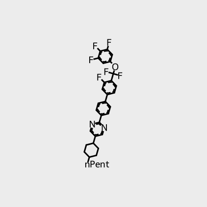 CCCCCC1CCC(c2cnc(-c3ccc(-c4ccc(C(F)(F)Oc5cc(F)c(F)c(F)c5)c(F)c4)cc3)nc2)CC1